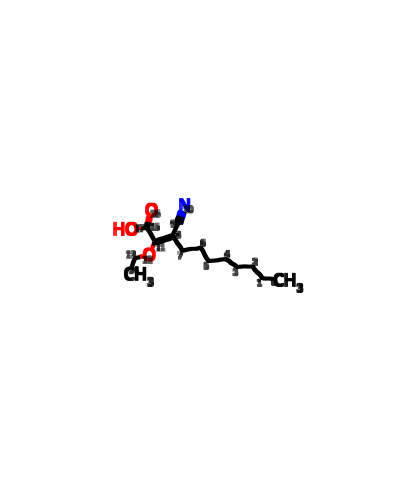 CCCCCCCC/C(C#N)=C(\OCC)C(=O)O